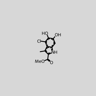 COC(=O)c1[nH]c2cc(O)c(O)c(Cl)c2c1C